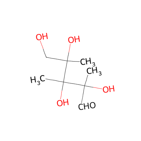 CC(O)(C=O)C(C)(O)C(C)(O)CO